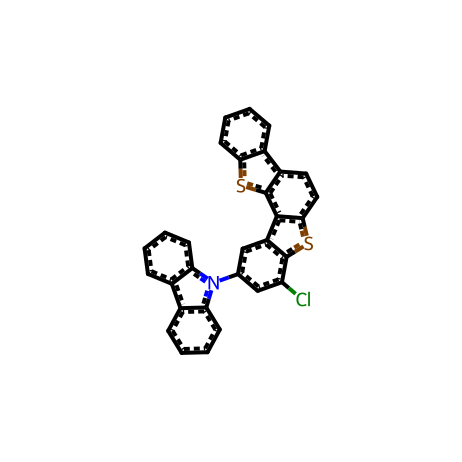 Clc1cc(-n2c3ccccc3c3ccccc32)cc2c1sc1ccc3c4ccccc4sc3c12